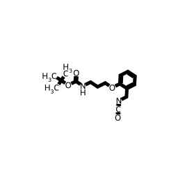 CC(C)(C)OC(=O)NCCCOc1ccccc1CN=C=O